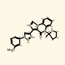 COc1cccc(-n2cc(-c3ncn4c3c(=O)n(C3(C)CCCO3)c3ccccc34)nn2)c1